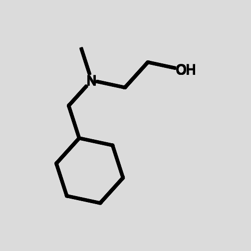 CN(CCO)CC1CCCCC1